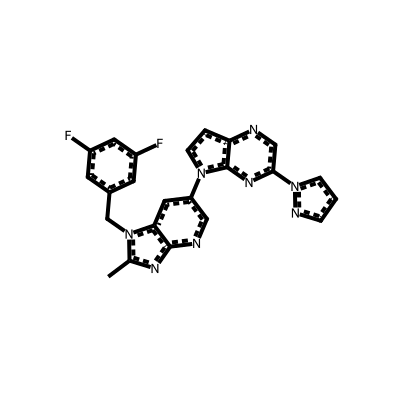 Cc1nc2ncc(-n3ccc4ncc(-n5cccn5)nc43)cc2n1Cc1cc(F)cc(F)c1